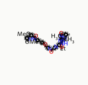 CCOc1cc(N2CCC(C(=O)N3CCC(COc4ccc(-c5ccc(NC(=O)c6ccc(OC)c(-c7cccc(OC)c7)c6)cc5)cc4)CC3)CC2)ccc1Nc1ncc2c(n1)N(C)c1ccccc1C(=O)N2C